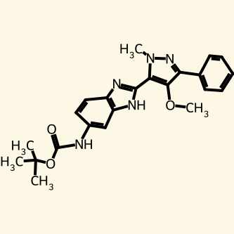 COc1c(-c2ccccc2)nn(C)c1-c1nc2ccc(NC(=O)OC(C)(C)C)cc2[nH]1